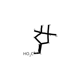 CC1(C)CC(=CC(=O)O)CC1(C)C